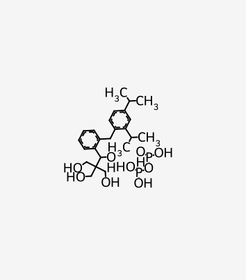 CC(C)c1ccc(Cc2ccccc2C(O)C(CO)(CO)CO)c(C(C)C)c1.OP(O)OP(O)O